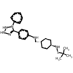 CC(C)(C)SN[C@H]1CC[C@H](CNc2ccc(C3=NNNN3c3ccccc3)cc2)CC1